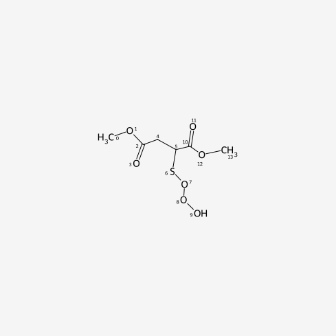 COC(=O)CC(SOOO)C(=O)OC